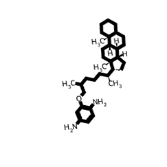 CC(CCC[C@@H](C)[C@H]1CC[C@H]2[C@@H]3CCC4CCCC[C@]4(C)[C@H]3CC[C@]12C)COc1cc(N)ccc1N